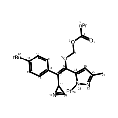 CCCC(=O)OCO/C(=C(\c1ccc(C(C)(C)C)cc1)C1C=N1)c1cc(C)nn1CC